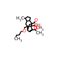 CCCCOCC12CC3C(C)CCC3C3(C=O)CC1C=C(C(C)C)C32C(=O)O